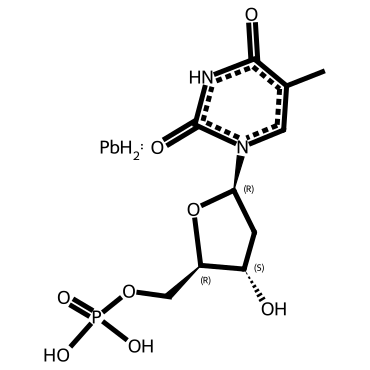 Cc1cn([C@H]2C[C@H](O)[C@@H](COP(=O)(O)O)O2)c(=O)[nH]c1=O.[PbH2]